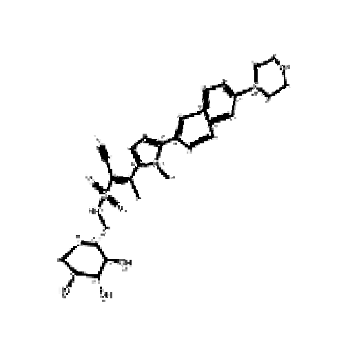 C/C(=C(/C#N)S(=O)(=O)NC[C@H]1OC[C@H](O)[C@@H](O)[C@@H]1O)c1ccc(-c2ccc3cc(N4CCOCC4)ccc3c2)n1C